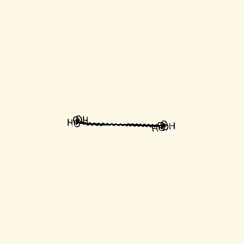 O=P(O)(O)CCCCCCCCCCCCCCCCCCCCCCCCCCCCCCCCCCCCCCCOP(=O)(O)O